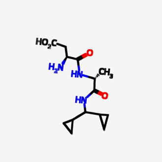 C[C@@H](NC(=O)[C@@H](N)CC(=O)O)C(=O)NC(C1CC1)C1CC1